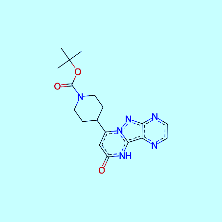 CC(C)(C)OC(=O)N1CCC(c2cc(=O)[nH]c3c4nccnc4nn23)CC1